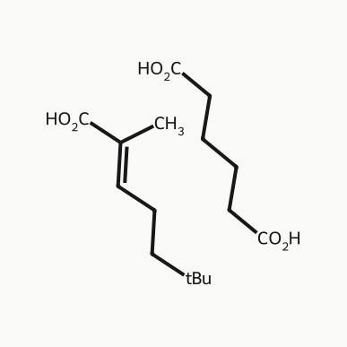 CC(=CCCC(C)(C)C)C(=O)O.O=C(O)CCCCC(=O)O